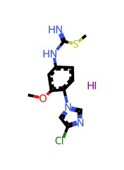 COc1cc(NC(=N)SC)ccc1-n1cnc(Cl)c1.I